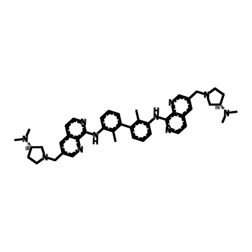 Cc1c(Nc2nccc3cc(CN4CC[C@H](N(C)C)C4)cnc23)cccc1-c1cccc(Nc2nccc3cc(CN4CC[C@H](N(C)C)C4)cnc23)c1C